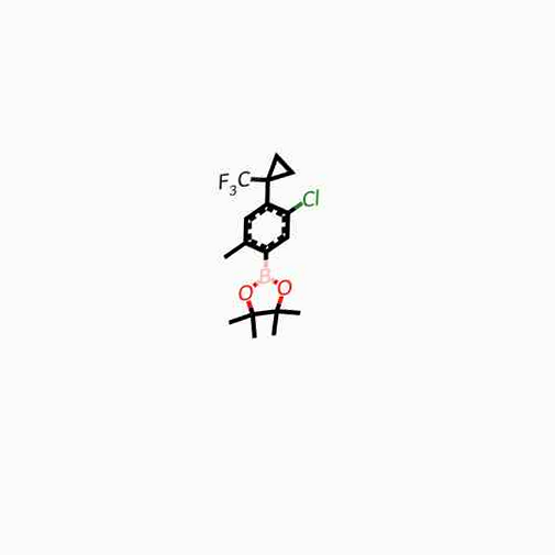 Cc1cc(C2(C(F)(F)F)CC2)c(Cl)cc1B1OC(C)(C)C(C)(C)O1